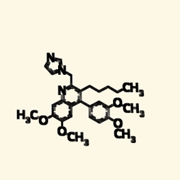 CCCCCc1c(Cn2ccnc2)nc2cc(OC)c(OC)cc2c1-c1ccc(OC)c(OC)c1